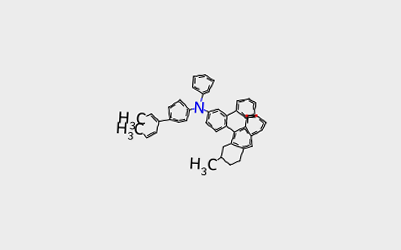 C/C=C\C(=C/C)c1ccc(N(c2ccccc2)c2ccc(-c3c4c(cc5ccccc35)CCC(C)C4)c(-c3ccccc3)c2)cc1